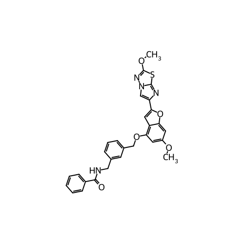 COc1cc(OCc2cccc(CNC(=O)c3ccccc3)c2)c2cc(-c3cn4nc(OC)sc4n3)oc2c1